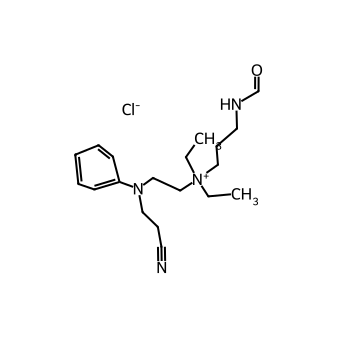 CC[N+](CC)(CCCNC=O)CCN(CCC#N)c1ccccc1.[Cl-]